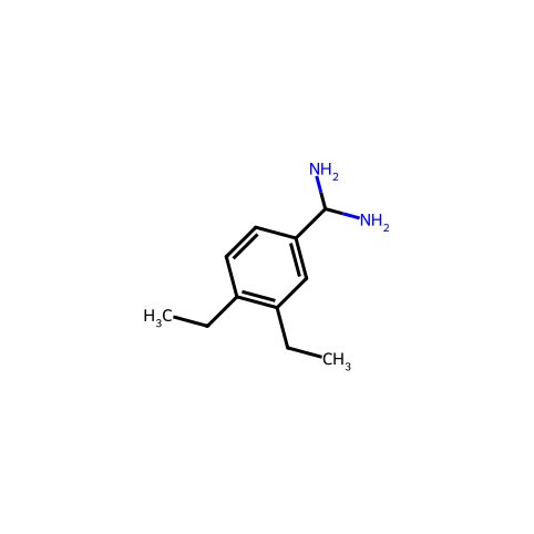 CCc1ccc(C(N)N)cc1CC